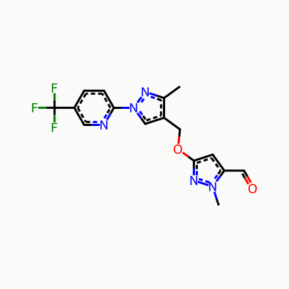 Cc1nn(-c2ccc(C(F)(F)F)cn2)cc1COc1cc(C=O)n(C)n1